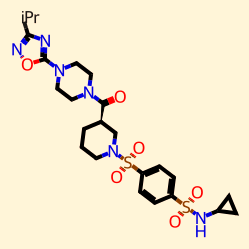 CC(C)c1noc(N2CCN(C(=O)[C@@H]3CCCN(S(=O)(=O)c4ccc(S(=O)(=O)NC5CC5)cc4)C3)CC2)n1